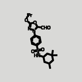 CC1CC(NS(=O)(=O)c2ccc(N3N=C(OC(C)C)OC3C=O)cc2)CC(C)(C)C1